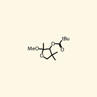 COC1(C)OCC(C)(C)C1OC(=O)C(C)(C)C